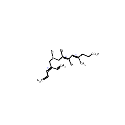 C=C/C=C(\C=C)CN(CC)C/C(CC)=C(/C=C(\C)CCC(=O)O)CC